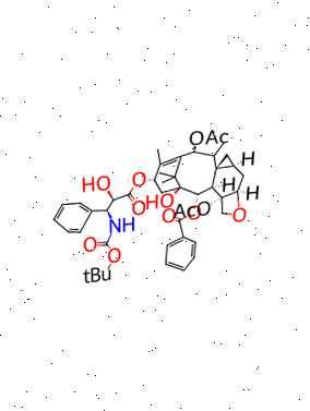 CC(=O)O[C@@H]1C2=C(C)[C@@H](OC(=O)[C@H](O)[C@@H](NC(=O)OC(C)(C)C)c3ccccc3)C[C@@](O)([C@@H](OC(=O)c3ccccc3)[C@@H]3[C@]4(OC(C)=O)CO[C@@H]4C[C@@H]4C[C@@]43C1C)C2(C)C